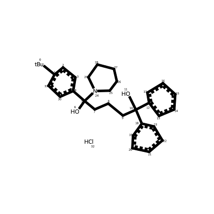 CC(C)(C)c1ccc(C(O)(CCCC(O)(c2ccccc2)c2ccccc2)N2CCCCC2)cc1.Cl